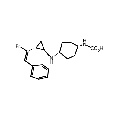 CC(C)C(=Cc1ccccc1)[C@@H]1C[C@H]1N[C@H]1CC[C@@H](NC(=O)O)CC1